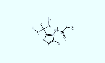 CCOC(C)(OCC)c1scc(C)c1NC(=O)CCl